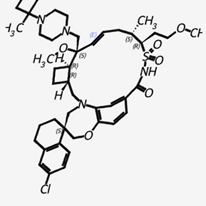 COCC[C@@H]1[C@@H](C)C/C=C/[C@@](CN2CCN(C3(C)COC3)CC2)(OC)[C@@H]2CC[C@H]2CN2C[C@@]3(CCCc4cc(Cl)ccc43)COc3ccc(cc32)C(=O)NS1(=O)=O